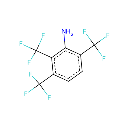 Nc1c(C(F)(F)F)ccc(C(F)(F)F)c1C(F)(F)F